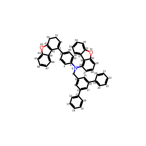 C1=C(c2ccc(N(Cc3cc(-c4ccccc4)cc(-c4ccccc4)c3)c3cccc4oc5ccccc5c34)cc2)c2c(oc3ccccc23)CC1